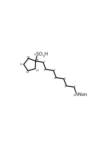 CCCCCCCCCCCCCCCCC1(S(=O)(=O)O)CCCC1